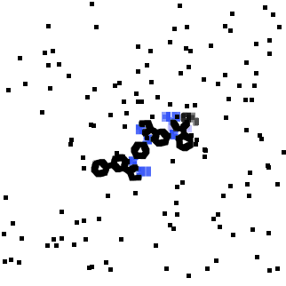 C/C=c1\c(=C/N)n(-c2ccc3c(c2)c2c(n3-c3ccc(-n4c5c(c6cc(-c7ccccc7)ccc64)CCN5)cc3)=[N+]=CC=2)c2ccccc12